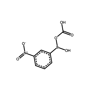 O=C(O)OB(O)c1cccc([N+](=O)[O-])c1